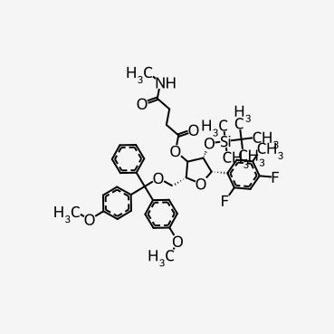 CNC(=O)CCC(=O)OC1[C@@H](COC(c2ccccc2)(c2ccc(OC)cc2)c2ccc(OC)cc2)O[C@@H](c2cc(C)c(F)cc2F)[C@H]1O[Si](C)(C)C(C)(C)C